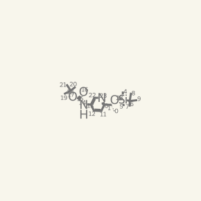 C[C@@H](O[Si](C)(C)C(C)(C)C)c1ccc(NC(=O)OC(C)(C)C)cn1